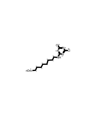 CCCCCCCCCCCCCCCCCCNc1nc(Cl)nc(Cl)n1